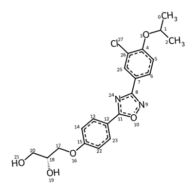 CC(C)Oc1ccc(-c2noc(-c3ccc(OC[C@H](O)CO)cc3)n2)cc1Cl